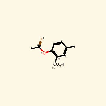 CC(=S)Oc1ccc(C)cc1C(=O)O